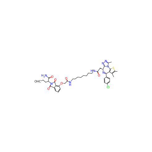 Cc1sc2c(c1C)C(c1ccc(Cl)cc1)=N[C@@H](CC(=O)NCCCCCCCCNC(=O)COc1cccc3c1C(=O)N(C(CCC=O)C(N)=O)C3=O)c1nnc(C)n1-2